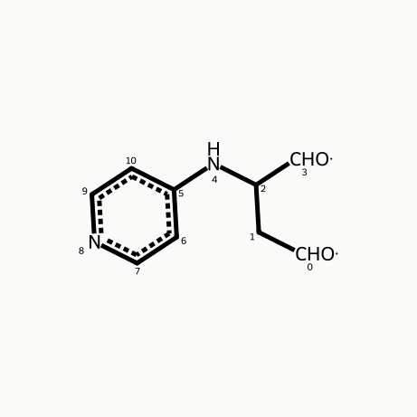 O=[C]CC([C]=O)Nc1ccncc1